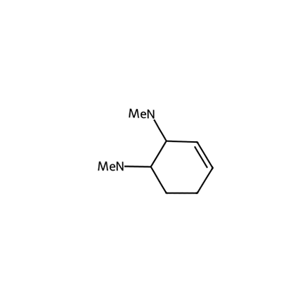 CNC1C=CCCC1NC